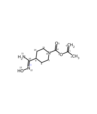 C=C(C)OC(=O)N1CCC(/C(N)=N/O)CC1